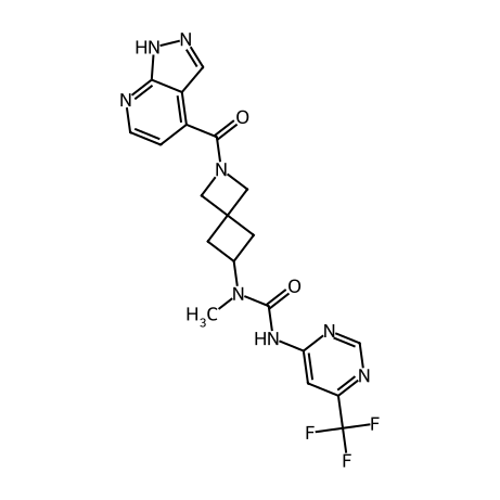 CN(C(=O)Nc1cc(C(F)(F)F)ncn1)C1CC2(C1)CN(C(=O)c1ccnc3[nH]ncc13)C2